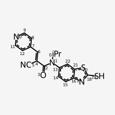 CC(C)N(C(=O)C(C#N)=Cc1ccncc1)c1ccc2nc(S)sc2c1